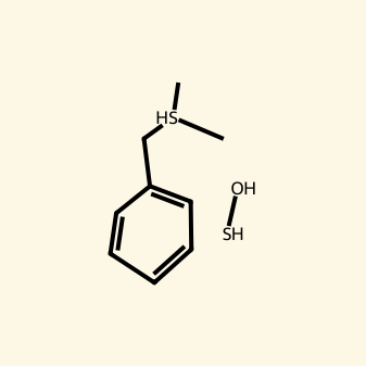 C[SH](C)Cc1ccccc1.OS